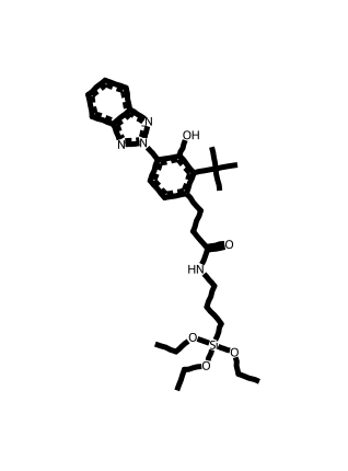 CCO[Si](CCCNC(=O)CCc1ccc(-n2nc3ccccc3n2)c(O)c1C(C)(C)C)(OCC)OCC